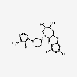 Nc1ncnc(N2CCC[C@@H](N3CC(O)C(O)CC(Nc4cc(F)cc(Cl)c4)C3=O)C2)c1F